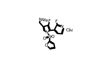 CNCc1cn(S(=O)(=O)c2ccco2)c(-c2cccnc2F)c1F.Cl